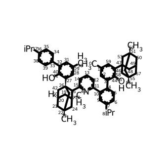 Cc1cc(-c2ccc(C(C)C)cc2-c2cccc(C3[C@]4(C)C[C@H]5C[C@@](C)(C4)C[C@]3(c3cc(C)cc(-c4ccc(C(C)C)cc4)c3O)C5)n2)c(O)c(C23CC4C[C@@](C)(C2)C[C@](C)(C4)C3)c1